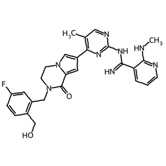 CNc1ncccc1C(=N)Nc1ncc(C)c(-c2cc3n(c2)CCN(Cc2cc(F)ccc2CO)C3=O)n1